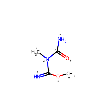 COC(=N)N(C)C(N)=O